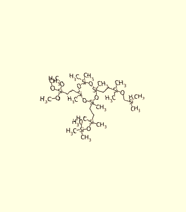 CO[Si](CC[Si]1(C)O[Si](C)(C)O[Si](C)(CC[Si](C)(C)OC[SiH](C)C)O[Si](C)(CC[Si](C)(C)O[Si](C)(C)C)O1)(OC)OC